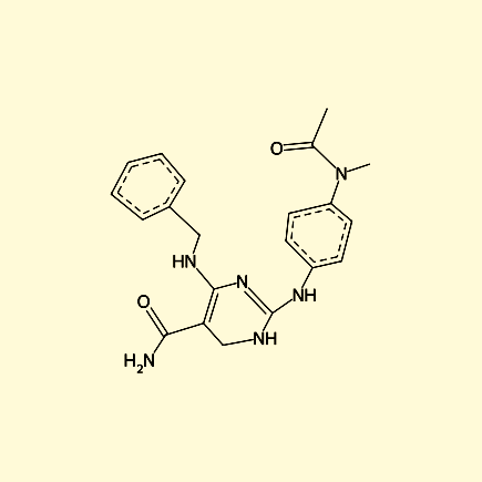 CC(=O)N(C)c1ccc(NC2=NC(NCc3ccccc3)=C(C(N)=O)CN2)cc1